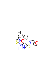 Cc1csc(Nc2ncc(Sc3nccc4occc34)cc2Oc2ccccc2)n1